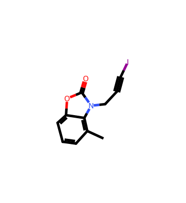 Cc1cccc2oc(=O)n(CC#CI)c12